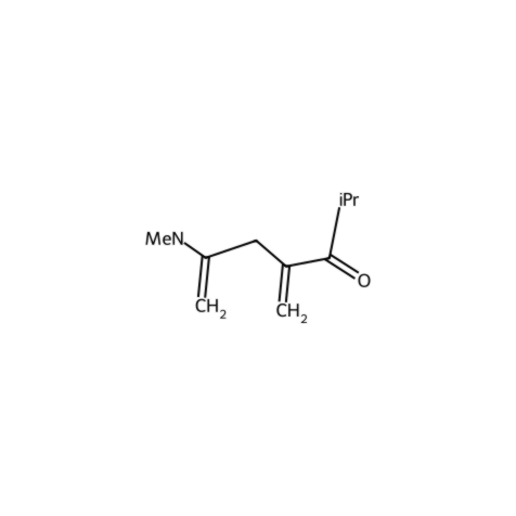 C=C(CC(=C)C(=O)C(C)C)NC